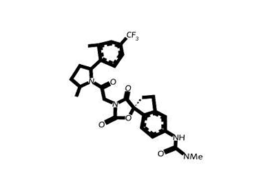 CNC(=O)Nc1ccc2c(c1)CC[C@@]21OC(=O)N(CC(=O)N2C(C)CCC2c2ccc(C(F)(F)F)cc2C)C1=O